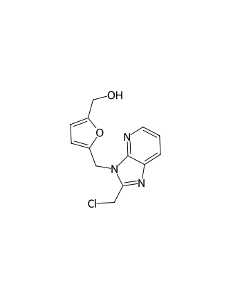 OCc1ccc(Cn2c(CCl)nc3cccnc32)o1